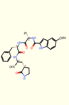 COc1ccc2[nH]c(C(=O)N[C@H](C(=O)N[C@@H](Cc3ccccc3)C(=O)N[C@H](C=O)C[C@@H]3CCNC3=O)C(C)C)cc2c1